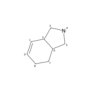 C1=CC2C[N]CC2CC1